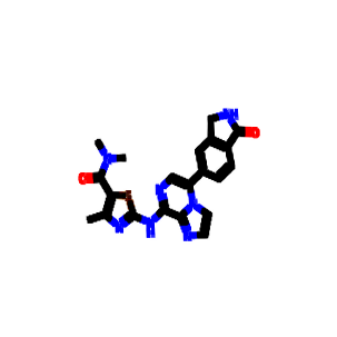 Cc1nc(Nc2ncc(-c3ccc4c(c3)CNC4=O)n3ccnc23)sc1C(=O)N(C)C